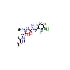 C=C/C=C(\C)NCC(=O)N(CC(=O)NCc1cccc(Cl)c1F)C(C)C